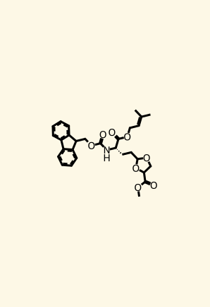 COC(=O)C1COC(CC[C@H](NC(=O)OCC2c3ccccc3-c3ccccc32)C(=O)OCC=C(C)C)O1